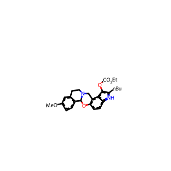 CCCCc1[nH]c2ccc3c(c2c1OC(=O)OCC)CN1CCc2cc(OC)ccc2C1O3